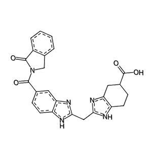 O=C(O)C1CCc2[nH]c(Cc3nc4cc(C(=O)N5Cc6ccccc6C5=O)ccc4[nH]3)nc2C1